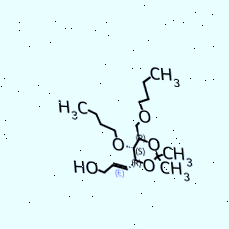 CCCCOC[C@H]1OC(C)(C)O[C@H](/C=C/CO)[C@@H]1OCCCC